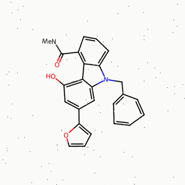 CNC(=O)c1cccc2c1c1c(O)cc(-c3ccco3)cc1n2Cc1ccccc1